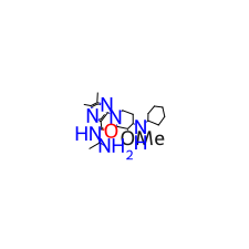 COC1CN(c2nc(C)c(C)nc2C(=O)NC(C)N)CCC1NC1CCCCC1